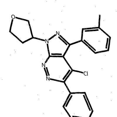 Cc1cccc(-c2nn(C3CCOC3)c3nnc(-c4ccccc4)c(Cl)c23)c1